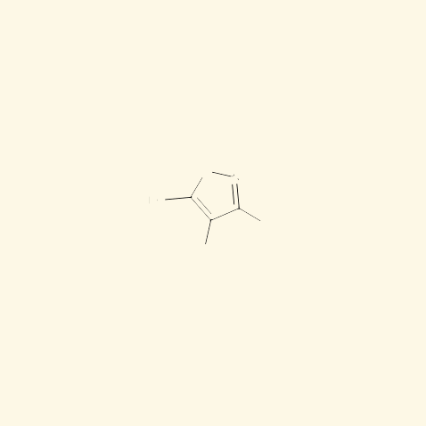 [CH2]c1c(C)noc1C